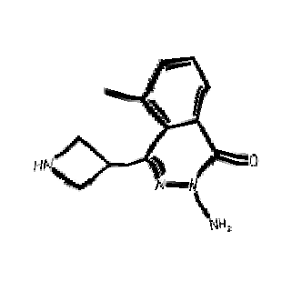 Cc1cccc2c(=O)n(N)nc(C3CNC3)c12